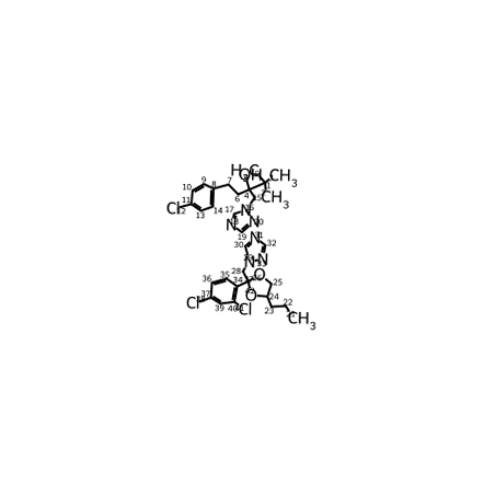 CC(C)(C)C(O)(CCc1ccc(Cl)cc1)Cn1cncn1.CCCC1COC(Cn2cncn2)(c2ccc(Cl)cc2Cl)O1